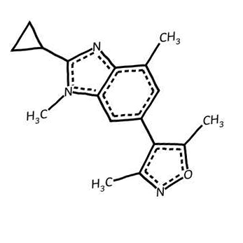 Cc1noc(C)c1-c1cc(C)c2nc(C3CC3)n(C)c2c1